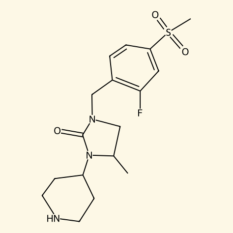 CC1CN(Cc2ccc(S(C)(=O)=O)cc2F)C(=O)N1C1CCNCC1